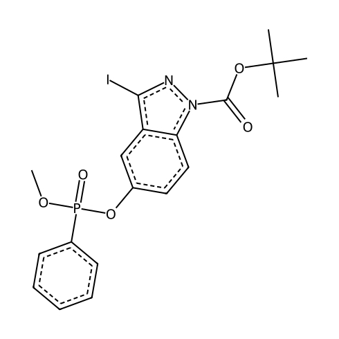 COP(=O)(Oc1ccc2c(c1)c(I)nn2C(=O)OC(C)(C)C)c1ccccc1